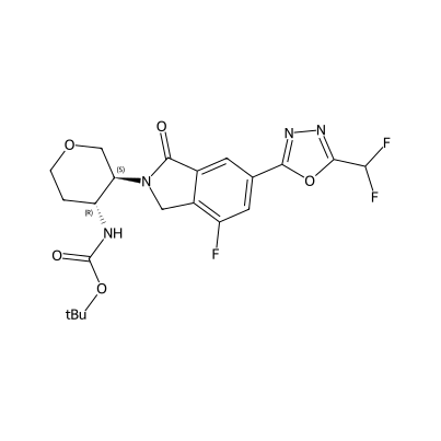 CC(C)(C)OC(=O)N[C@@H]1CCOC[C@H]1N1Cc2c(F)cc(-c3nnc(C(F)F)o3)cc2C1=O